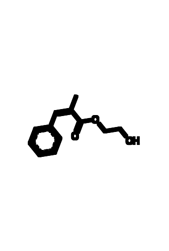 CC(=Cc1ccccc1)C(=O)OCCO